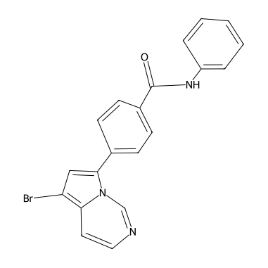 O=C(Nc1ccccc1)c1ccc(-c2cc(Br)c3ccncn23)cc1